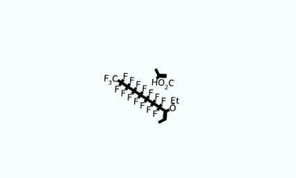 C=C(C)C(=O)O.CC=C(OCC)C(F)(F)C(F)(F)C(F)(F)C(F)(F)C(F)(F)C(F)(F)C(F)(F)C(F)(F)F